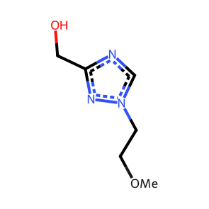 COCCn1cnc(CO)n1